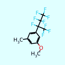 COc1[c]c(C)cc(C(F)(C(F)(F)F)C(F)(F)C(F)(F)F)c1